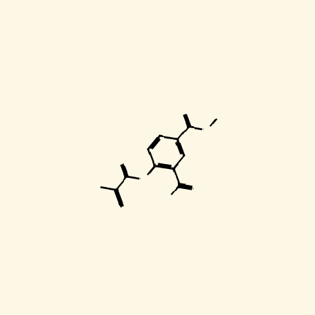 C=C(C)C(=O)Oc1ccc(C(=O)OC)cc1C(=O)O